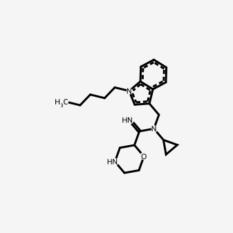 CCCCCn1cc(CN(C(=N)C2CNCCO2)C2CC2)c2ccccc21